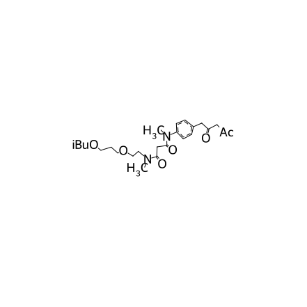 CC(=O)CC(=O)Cc1ccc(N(C)C(=O)CC(=O)N(C)CCOCCCOCC(C)C)cc1